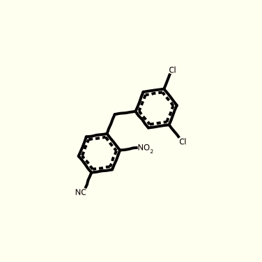 N#Cc1ccc(Cc2cc(Cl)cc(Cl)c2)c([N+](=O)[O-])c1